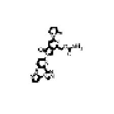 CC1CCCN1c1cc2c(c(COC(N)=O)n1)CN(c1cccc(-c3nncn3-c3ccnn3C)n1)C2=O